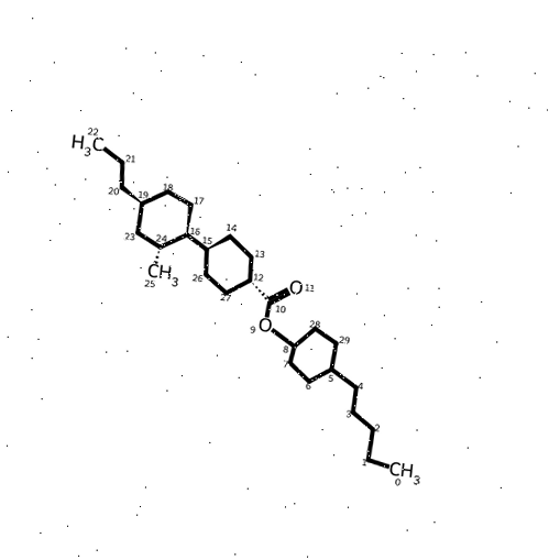 CCCCCC1CCC(OC(=O)[C@H]2CC[C@H]([C@@H]3CC[C@H](CCC)C[C@H]3C)CC2)CC1